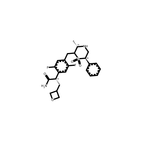 C[C@@H]1NC[C@@H](c2ccccc2)S(=O)(=O)C1Cc1cc(F)c([C@H](CC2COC2)C(N)=O)cc1F